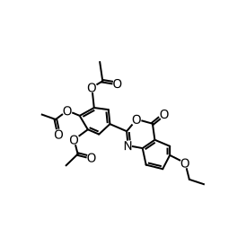 CCOc1ccc2nc(-c3cc(OC(C)=O)c(OC(C)=O)c(OC(C)=O)c3)oc(=O)c2c1